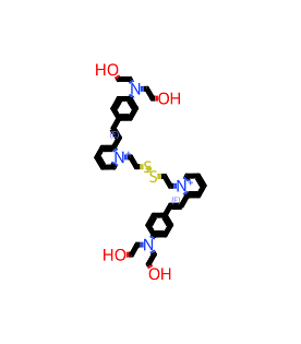 OCCN(CCO)c1ccc(/C=C/c2cccc[n+]2CCSSCC[n+]2ccccc2/C=C/c2ccc(N(CCO)CCO)cc2)cc1